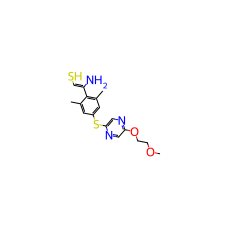 COCCOc1cnc(Sc2cc(C)c(/C(N)=C/S)c(C)c2)cn1